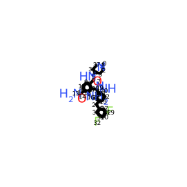 CN1CCC(NC(=O)c2ccc(C(N)=O)c(N)c2-c2n[nH]c3ccc(Cc4cc(F)cc(F)c4)cc23)CC1